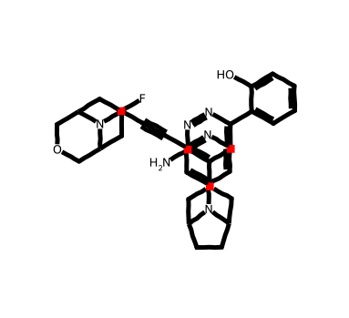 Nc1nnc(-c2ccccc2O)cc1N1CC2CCC(C1)N2c1ccnc(C#CCN2C3COCC2CC(F)C3)c1